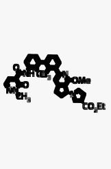 CCOC(=O)[C@H]1CCN([C@H]2CCc3cc(-c4cccc(-c5cccc(NC(=O)c6ccnn(C)c6=O)c5C)c4Cl)nc(OC)c32)C1